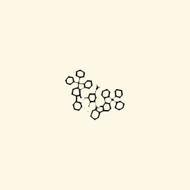 N#Cc1cc(-n2c3ccccc3c3ccc4c(c32)-c2ccccc2C4(c2ccccc2)c2ccccc2)c(C#N)c(-n2c3ccccc3c3ccc4c(c32)-c2ccccc2C4(c2ccccc2)c2ccccc2)c1